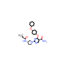 C=CC(=O)N[C@H]1CCN(c2ncc(C(N)=O)c(Oc3ccc(Oc4ccccc4)cc3)n2)C1